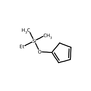 CC[Si](C)(C)OC1=CC=CC1